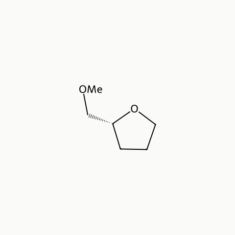 COC[C@H]1CCCO1